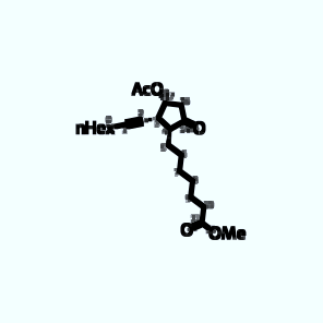 CCCCCCC#C[C@H]1[C@H](CCCCCCC(=O)OC)C(=O)C[C@H]1OC(C)=O